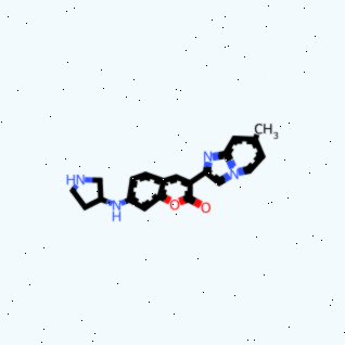 Cc1ccn2cc(-c3cc4ccc(NC5CCNC5)cc4oc3=O)nc2c1